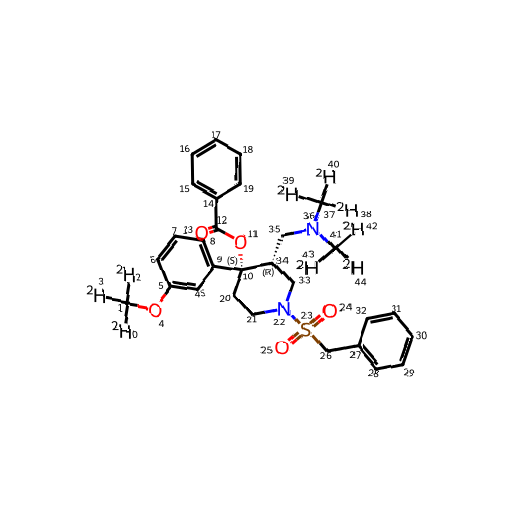 [2H]C([2H])([2H])Oc1cccc([C@]2(OC(=O)c3ccccc3)CCN(S(=O)(=O)Cc3ccccc3)C[C@H]2CN(C([2H])([2H])[2H])C([2H])([2H])[2H])c1